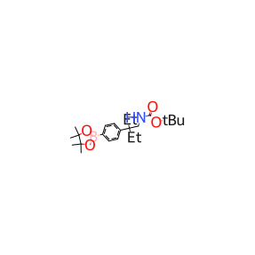 CCC(CC)(CNC(=O)OC(C)(C)C)c1ccc(B2OC(C)(C)C(C)(C)O2)cc1